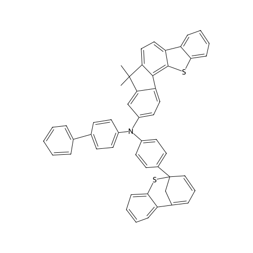 CC1(C)c2cc(N(c3ccc(-c4ccccc4)cc3)c3ccc(C45C=CC=C(C4)c4ccccc4S5)cc3)ccc2-c2c1ccc1c2sc2ccccc21